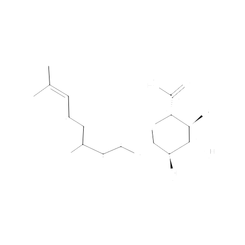 CC(C)=CCCC(C)CCO[C@@H]1O[C@H](C(=O)O)[C@@H](O)[C@H](O)[C@H]1O